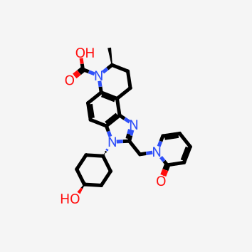 C[C@H]1CCc2c(ccc3c2nc(Cn2ccccc2=O)n3[C@H]2CC[C@H](O)CC2)N1C(=O)O